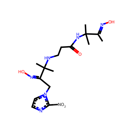 CC(=NO)C(C)(C)NC(=O)CCNC(C)(C)C(Cn1ccnc1[N+](=O)[O-])=NO